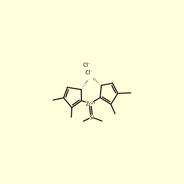 CC1=C[C@@H](C)[C]([Zr+2]([C]2=C(C)C(C)=C[C@@H]2C)=[Si](C)C)=C1C.[Cl-].[Cl-]